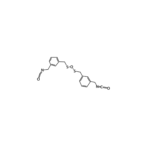 O=C=NCc1cccc(CSOSCc2cccc(CN=C=O)c2)c1